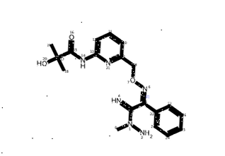 CN(N)C(=N)/C(=N\OCc1cccc(NC(=O)C(C)(C)O)n1)c1ccccc1